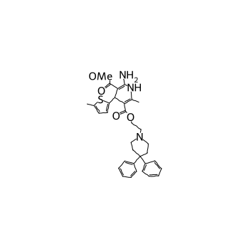 COC(=O)C1=C(N)NC(C)=C(C(=O)OCCN2CCC(c3ccccc3)(c3ccccc3)CC2)C1c1ccc(C)s1